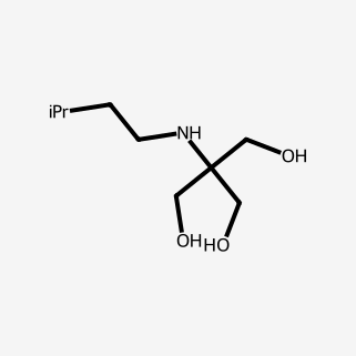 CC(C)CCNC(CO)(CO)CO